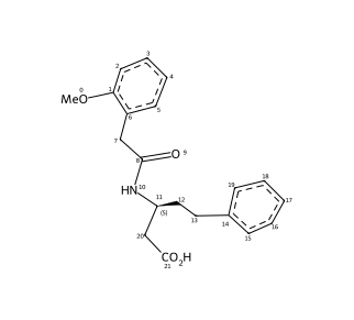 COc1ccccc1CC(=O)N[C@@H](CCc1ccccc1)CC(=O)O